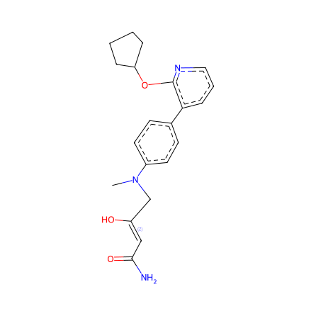 CN(C/C(O)=C/C(N)=O)c1ccc(-c2cccnc2OC2CCCC2)cc1